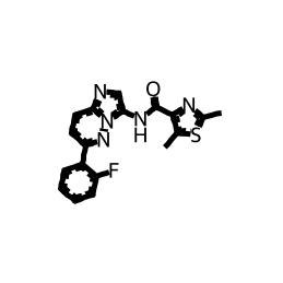 Cc1nc(C(=O)Nc2cnc3ccc(-c4ccccc4F)nn23)c(C)s1